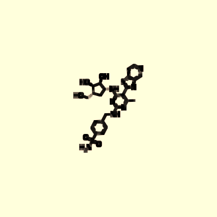 Cc1nc(NCc2ccc(S(N)(=O)=O)cc2)nc(N[C@@H]2C[C@H](CO)[C@@H](O)[C@H]2O)c1-c1nc2cnccc2s1